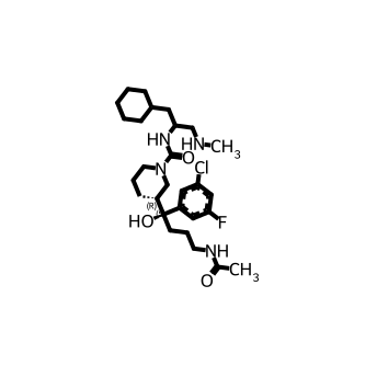 CNCC(CC1CCCCC1)NC(=O)N1CCC[C@@H]([C@@](O)(CCCNC(C)=O)c2cc(F)cc(Cl)c2)C1